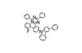 Fc1ccccc1-c1ccc(-n2c3ccccc3c3cc(-c4ccccc4)ccc32)cc1-c1nc(-c2ccccc2)nc(-c2ccccc2)n1